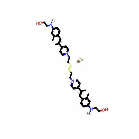 CCN(CCO)c1ccc(/C=C(\C)c2cc[n+](CCSSCC[n+]3ccc(/C(C)=C/c4ccc(N(CC)CCO)cc4C)cc3)cc2)c(C)c1.[Br-].[Br-]